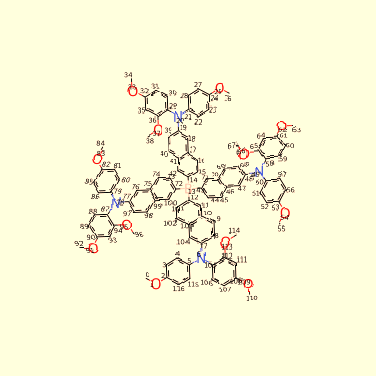 COc1ccc(N(c2ccc3cc([B-](c4ccc5cc(N(c6ccc(OC)cc6)c6ccc(OC)cc6OC)ccc5c4)(c4ccc5cc(N(c6ccc(OC)cc6)c6ccc(OC)cc6OC)ccc5c4)c4ccc5cc(N(c6ccc(OC)cc6)c6ccc(OC)cc6OC)ccc5c4)ccc3c2)c2ccc(OC)cc2OC)cc1